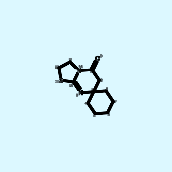 O=C1CC2(CCCCC2)N=C2SCCN12